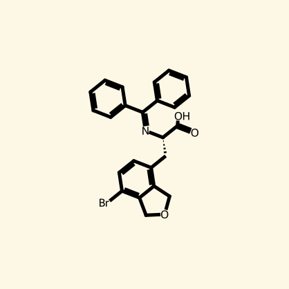 O=C(O)[C@H](Cc1ccc(Br)c2c1COC2)N=C(c1ccccc1)c1ccccc1